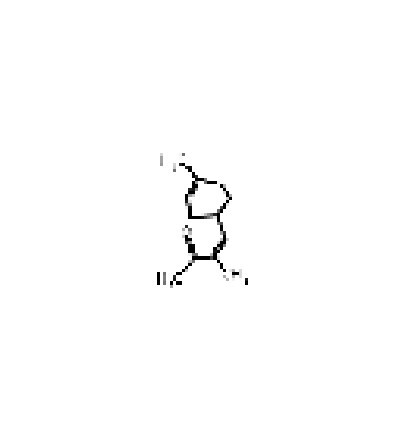 CC(=O)C(C)=CC1CC=C(C)CC1